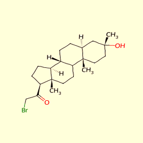 C[C@@]1(O)CC[C@]2(C)C3CC[C@]4(C)[C@@H](C(=O)CBr)CC[C@H]4[C@@H]3CC[C@H]2C1